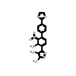 Cc1noc(C2=CC=C(c3ccc(-c4ncco4)cc3)C(=S(=O)=O)C2N)c1C